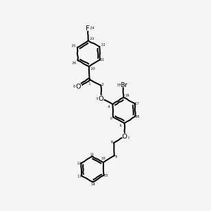 O=C(COc1cc(OCCc2ccccc2)ccc1Br)c1ccc(F)cc1